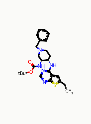 CC(C)(C)OC(=O)N[C@H]1CN(Cc2ccccc2)CC[C@@H]1Nc1ncnc2sc(CC(F)(F)F)cc12